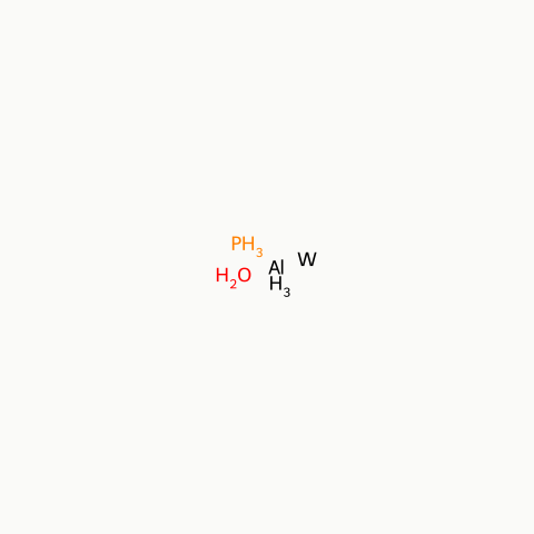 O.P.[AlH3].[W]